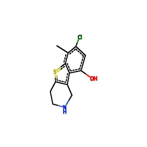 Cc1c(Cl)cc(O)c2c3c(sc12)CCNC3